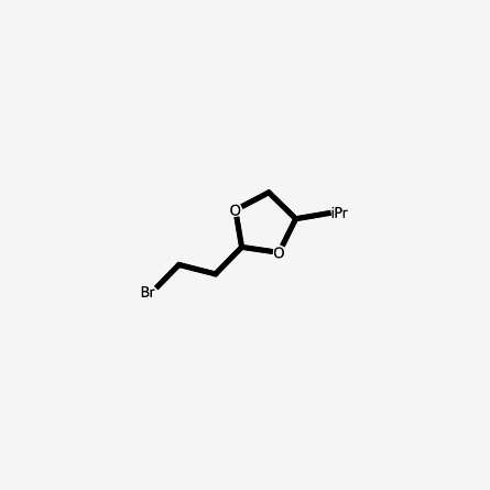 CC(C)C1COC(CCBr)O1